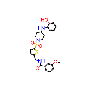 COc1cccc(C(=O)NCc2ccc(S(=O)(=O)N3CCC(Nc4ccccc4O)CC3)s2)c1